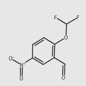 O=Cc1cc([N+](=O)[O-])ccc1OC(F)F